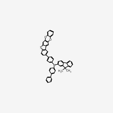 CC1(C)c2ccccc2-c2ccc(N(c3ccc(-c4ccccc4)cc3)c3ccc(-c4ccc5sc6cc7c(cc6c5c4)Oc4ccccc4O7)cc3)cc21